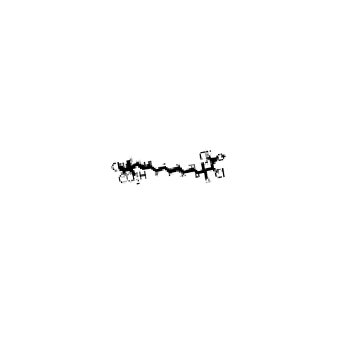 CC(C)(CCCCCCCCCCC(C)(C)C(Cl)C(=O)Cl)C(Cl)C(=O)O